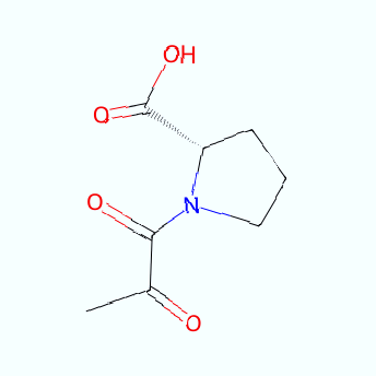 CC(=O)C(=O)N1CCC[C@H]1C(=O)O